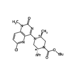 CCC[C@@H]1CN(c2nc(=O)n(C)c3ccc(Cl)nc23)[C@@H](C)CN1C(=O)OC(C)(C)C